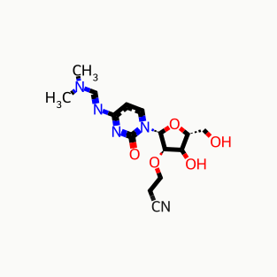 CN(C)/C=N/c1ccn([C@@H]2O[C@H](CO)C(O)[C@@H]2OCCC#N)c(=O)n1